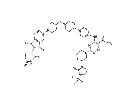 NC(=O)c1nnc(N2CCCC(N3CCN(C(F)(F)F)C3=O)C2)nc1Nc1ccc(C2CCN(CC3CCN(c4ccc5c(c4)C(=O)N(C4CCC(=O)NC4=O)C5=O)CC3)CC2)cc1